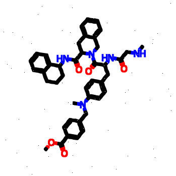 CNCC(=O)NC(Cc1ccc(N(C)Cc2ccc(C(=O)OC)cc2)cc1)C(=O)N1Cc2ccccc2CC1C(=O)NC1CCCc2ccccc21